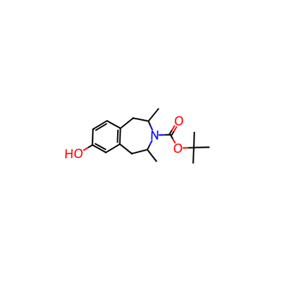 CC1Cc2ccc(O)cc2CC(C)N1C(=O)OC(C)(C)C